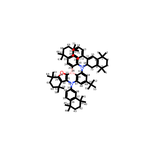 CC1(C)CCC(C)(C)C2=C1C=C(c1ccccc1)C(N1c3cc4c(cc3B3c5oc6c(c5N(c5ccc7c(c5)C(C)(C)CCC7(C)C)c5cc(C(C)(C)C)cc1c53)C(C)(C)CCC6(C)C)C(C)(C)CCC4(C)C)C2